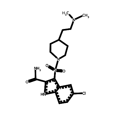 CN(C)CCC1CCN(S(=O)(=O)c2c(C(N)=O)[nH]c3ccc(Cl)cc23)CC1